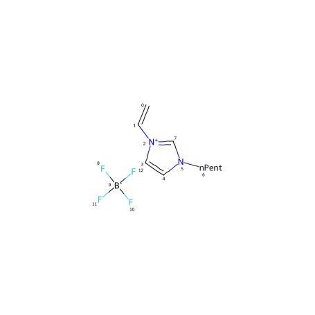 C=C[n+]1ccn(CCCCC)c1.F[B-](F)(F)F